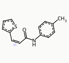 Cc1ccc(NC(=O)/C=C\c2cccs2)cc1